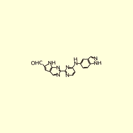 O=Cc1cc2cnc(-c3nccc(Nc4ccc5[nH]ncc5c4)n3)nc2[nH]1